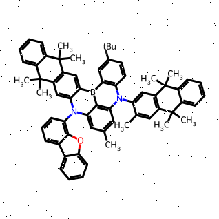 Cc1cc2c3c(c1)N(c1cccc4c1oc1ccccc14)c1cc4c(cc1B3c1cc(C(C)(C)C)ccc1N2c1cc2c(cc1C)C(C)(C)c1ccccc1C2(C)C)C(C)(C)c1ccccc1C4(C)C